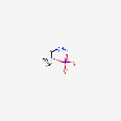 NCC(=O)O.O=P([O-])([O-])O.[Ca+2]